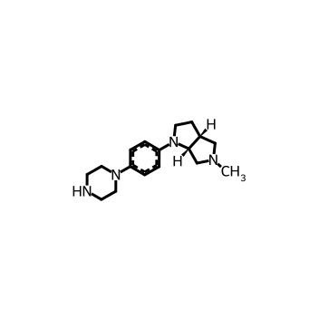 CN1C[C@H]2CCN(c3ccc(N4CCNCC4)cc3)[C@H]2C1